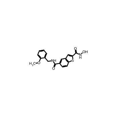 COc1ccccc1CNC(=O)c1ccc2sc(C(=O)NO)cc2c1